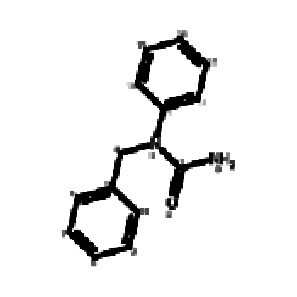 NC(=O)N(Cc1ccccc1)c1c[c]ccc1